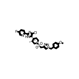 COc1ccc(Cn2cc(CS(=O)(=O)N3CC[C@@H](c4[nH]c(-c5ccc(F)cn5)nc4Cl)[C@@H](C)C3)nn2)cc1